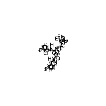 CCOP(=O)(OCC)OCC(C)(C)C[C@@H](COC(=O)Nc1cc2cc(F)ccc2cn1)N(C)C(=O)NCc1cccc(F)c1Cl